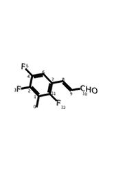 Cc1c(F)c(F)cc(C=CC=O)c1F